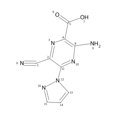 N#Cc1nc(C(=O)O)c(N)nc1-n1cccn1